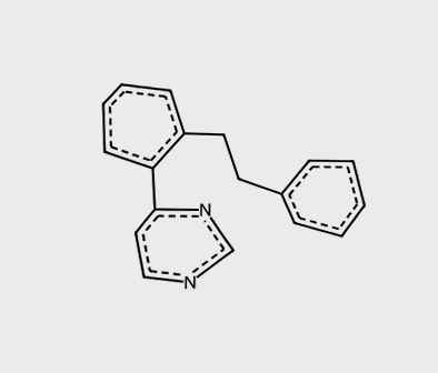 c1ccc(CCc2ccccc2-c2ccncn2)cc1